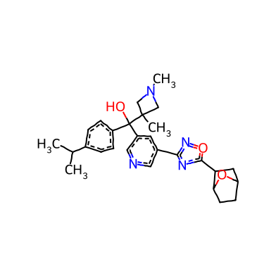 CC(C)c1ccc(C(O)(c2cncc(-c3noc(C4CC5CCC4O5)n3)c2)C2(C)CN(C)C2)cc1